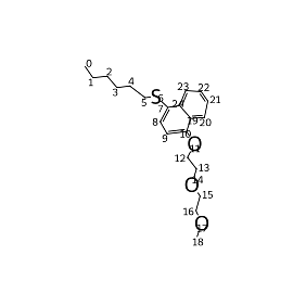 CCCCCCSc1ccc(OCCOCCOC)c2ccccc12